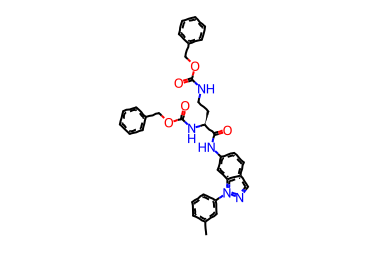 Cc1cccc(-n2ncc3ccc(NC(=O)[C@H](CCNC(=O)OCc4ccccc4)NC(=O)OCc4ccccc4)cc32)c1